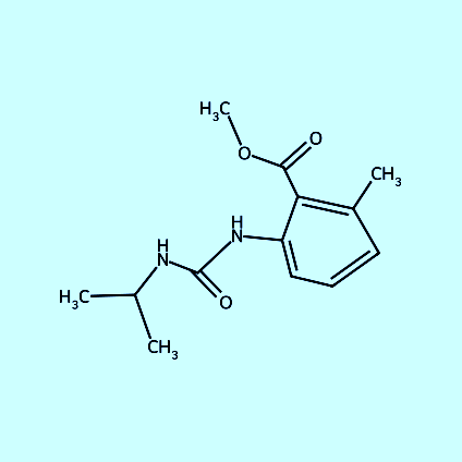 COC(=O)c1c(C)cccc1NC(=O)NC(C)C